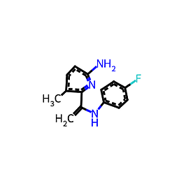 C=C(Nc1ccc(F)cc1)c1nc(N)ccc1C